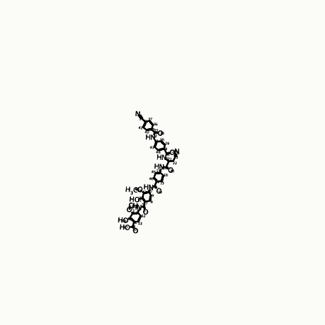 COc1c(NC(=O)c2ccc(NC(=O)c3ccc(NC(=O)C(CC#N)NC(=O)c4ccc(NC(=O)c5ccc(C#N)cc5)cc4)cc3)c(OC)c2O)ccc(C(=O)O)c1O